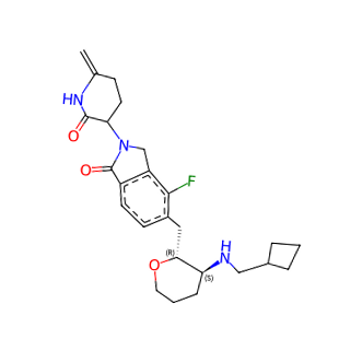 C=C1CCC(N2Cc3c(ccc(C[C@H]4OCCC[C@@H]4NCC4CCC4)c3F)C2=O)C(=O)N1